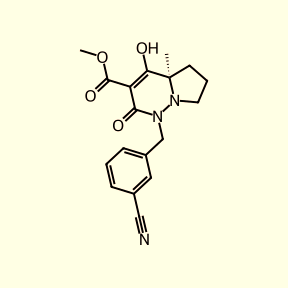 COC(=O)C1=C(O)[C@@]2(C)CCCN2N(Cc2cccc(C#N)c2)C1=O